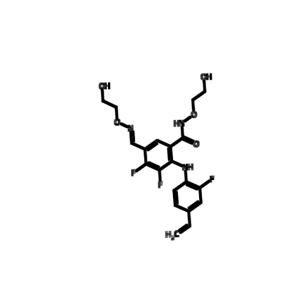 C=Cc1ccc(Nc2c(C(=O)NOCCO)cc(C=NOCCO)c(F)c2F)c(F)c1